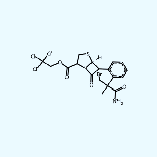 CC(CBr)(C(N)=O)c1ccccc1C1C(=O)N2C(C(=O)OCC(Cl)(Cl)Cl)CS[C@@H]12